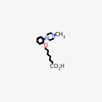 CN1CCN(c2ccccc2OCCCCCCC(=O)O)CC1